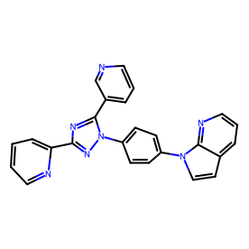 c1ccc(-c2nc(-c3cccnc3)n(-c3ccc(-n4ccc5cccnc54)cc3)n2)nc1